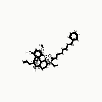 C=CCN1CC[C@]23c4c5c(O)cc(OC)c4O[C@H]2[C@@H](N(CC)C(=O)CCCCCCCc2ccccc2)CC[C@H]3[C@H]1C5